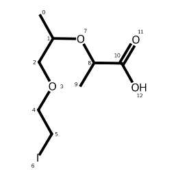 CC(COCCI)OC(C)C(=O)O